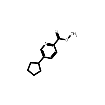 COC(=O)c1ccc(C2CCCC2)cn1